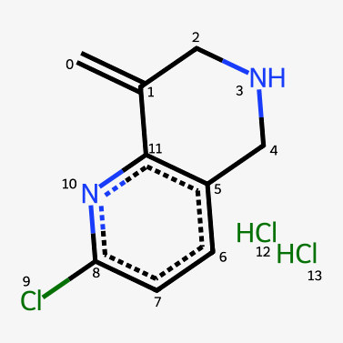 C=C1CNCc2ccc(Cl)nc21.Cl.Cl